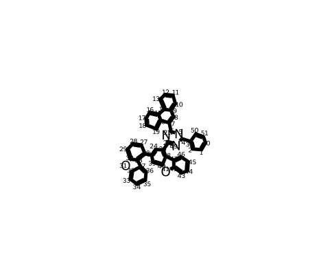 c1ccc(-c2nc(-c3cc4ccccc4c4ccccc34)nc(-c3cc(-c4cccc5oc6ccccc6c45)cc4oc5ccccc5c34)n2)cc1